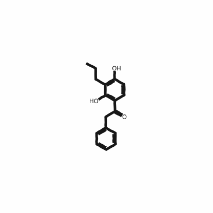 CCCc1c(O)ccc(C(=O)Cc2ccccc2)c1O